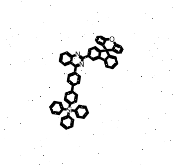 c1ccc([Si](c2ccccc2)(c2ccccc2)c2ccc(-c3ccc(-c4nc(-c5ccc6c(c5)-c5ccccc5C65c6ccccc6Oc6ccccc65)nc5ccccc45)cc3)cc2)cc1